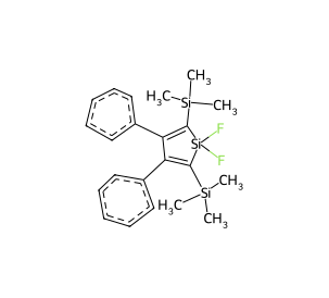 C[Si](C)(C)C1=C(c2ccccc2)C(c2ccccc2)=C([Si](C)(C)C)[Si]1(F)F